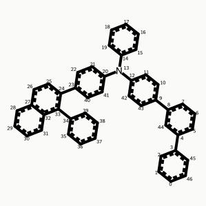 c1ccc(-c2cccc(-c3ccc(N(c4ccccc4)c4ccc(-c5ccc6ccccc6c5-c5ccccc5)cc4)cc3)c2)cc1